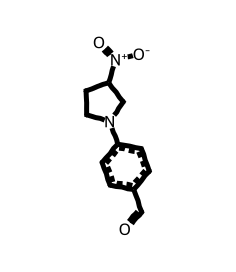 O=Cc1ccc(N2CCC([N+](=O)[O-])C2)cc1